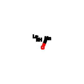 [KH].[La].[O]=[Mn]